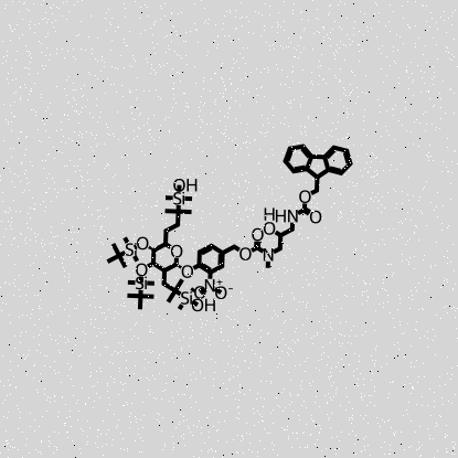 CN(CC(O)CNC(=O)OCC1c2ccccc2-c2ccccc21)C(=O)OCc1ccc(O[C@@H]2OC(CCC(C)(C)[Si](C)(C)O)[C@H](O[Si](C)(C)C(C)(C)C)C(O[Si](C)(C)C(C)(C)C)C2CC(C)(C)[Si](C)(C)O)c([N+](=O)[O-])c1